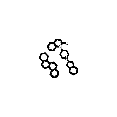 O=c1ccc2ccccc2n1C1CCN(C2Cc3ccccc3C2)CC1.c1ccc2c(c1)ccc1c3c(ccc12)CCCC3